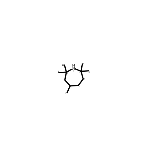 CC1CCC(C)(C)NC(C)(C)C1